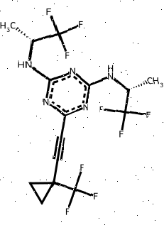 C[C@@H](Nc1nc(C#CC2(C(F)(F)F)CC2)nc(N[C@H](C)C(F)(F)F)n1)C(F)(F)F